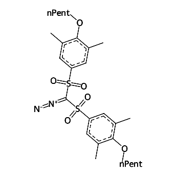 CCCCCOc1c(C)cc(S(=O)(=O)C(=[N+]=[N-])S(=O)(=O)c2cc(C)c(OCCCCC)c(C)c2)cc1C